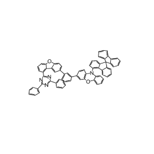 c1ccc(-c2nc(-c3ccccc3)nc(-c3cccc4oc5ccc(-c6cccc(-c7ccc8c(c7)Oc7ccccc7N8c7cccc8c7-c7ccccc7C87c8ccccc8-c8ccccc87)c6)cc5c34)n2)cc1